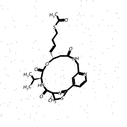 CC(=O)SCC/C=C/[C@@H]1CC(=O)NCc2cc(ccn2)C2=N[C@@](C)(CS2)C(=O)N[C@@H](C(C)C)C(=O)O1